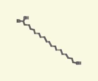 CCC(O)CCCCCCCCCCCCCCCCCCCO